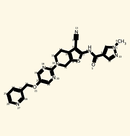 Cn1cc(C(=O)Nc2sc3c(c2C#N)CCN(c2ncc(OCc4cccnc4)cn2)C3)cn1